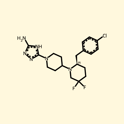 Nc1nnc(N2CCC(N3CC(F)(F)CC[C@@H]3Cc3ccc(Cl)cc3)CC2)[nH]1